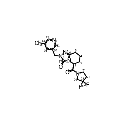 O=C(C1CCCc2nn(Cc3cncc(Cl)c3)c(=O)n21)N1CCC(F)(F)C1